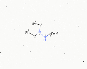 CCCCCNN(CC(C)C)CC(C)C